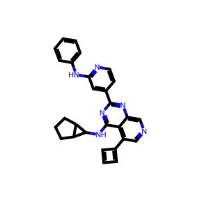 C1=CC(c2cncc3nc(-c4ccnc(Nc5ccccc5)c4)nc(NC4C5CCCC54)c23)=C1